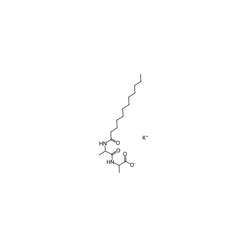 CCCCCCCCCCCC(=O)NC(C)C(=O)NC(C)C(=O)[O-].[K+]